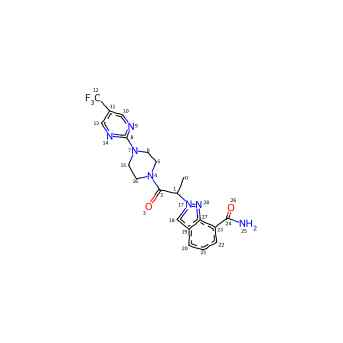 CC(C(=O)N1CCN(c2ncc(C(F)(F)F)cn2)CC1)n1cc2cccc(C(N)=O)c2n1